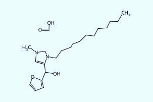 CCCCCCCCCCCCN1CN(C)C=C1C(O)c1ccco1.O=CO